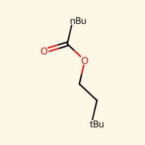 CCCCC(=O)OCCC(C)(C)C